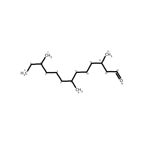 CCC(C)CCCC(C)CCCC(C)C[C]=O